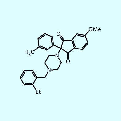 CCc1ccccc1CN1CCN(C2(c3cccc(C)c3)C(=O)c3ccc(OC)cc3C2=O)CC1